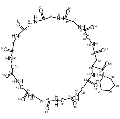 O=C1CNC(=O)CNC(=O)CNC(=O)CNC(=O)CNC(=O)CC(C(=O)N2CCCCC2)NC(=O)CNC(=O)CNC(=O)CNC(=O)CNC(=O)CN1